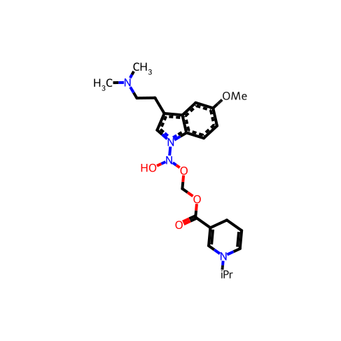 COc1ccc2c(c1)c(CCN(C)C)cn2N(O)OCOC(=O)C1=CN(C(C)C)C=CC1